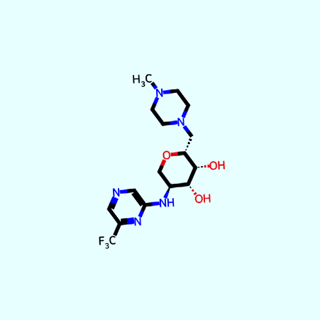 CN1CCN(C[C@H]2OC[C@H](Nc3cncc(C(F)(F)F)n3)[C@@H](O)[C@H]2O)CC1